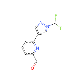 O=Cc1cccc(-c2cnn(C(F)F)c2)n1